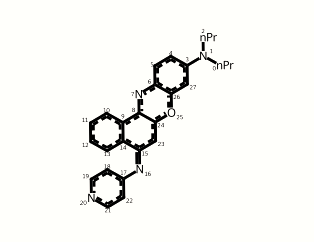 CCCN(CCC)c1ccc2nc3c4ccccc4/c(=N\c4ccncc4)cc-3oc2c1